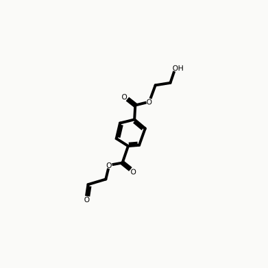 O=CCOC(=O)c1ccc(C(=O)OCCO)cc1